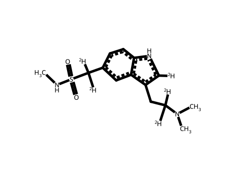 [2H]c1[nH]c2ccc(C([2H])([2H])S(=O)(=O)NC)cc2c1CC([2H])([2H])N(C)C